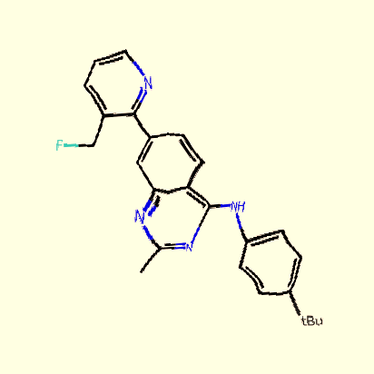 Cc1nc(Nc2ccc(C(C)(C)C)cc2)c2ccc(-c3ncccc3CF)cc2n1